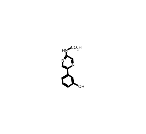 O=C(O)Nc1cnc(-c2cccc(O)c2)cn1